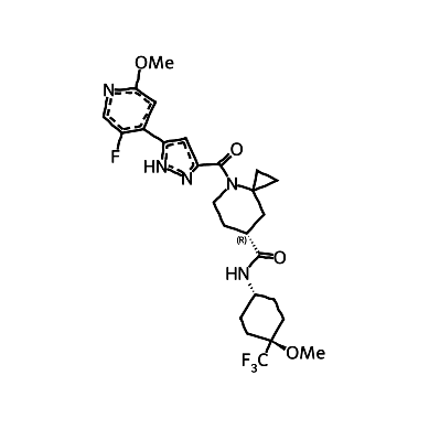 COc1cc(-c2cc(C(=O)N3CC[C@@H](C(=O)N[C@H]4CC[C@@](OC)(C(F)(F)F)CC4)CC34CC4)n[nH]2)c(F)cn1